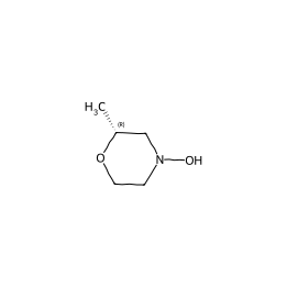 C[C@@H]1CN(O)CCO1